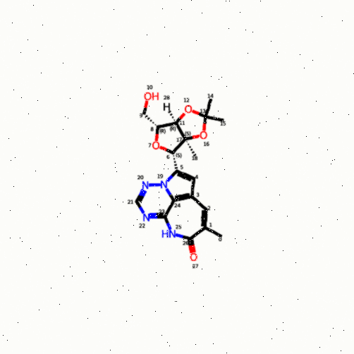 CC1=Cc2cc([C@@H]3O[C@H](CO)[C@H]4OC(C)(C)O[C@]43C)n3ncnc(c23)NC1=O